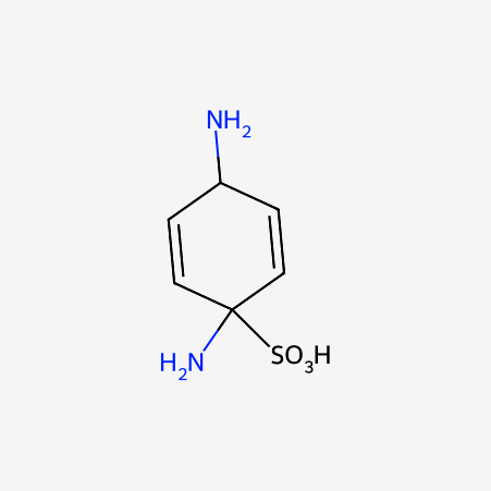 NC1C=CC(N)(S(=O)(=O)O)C=C1